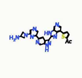 CC(=O)c1ccc(-c2cncc3[nH]c(-c4n[nH]c5cnc(-c6cncc(N7CC(N)C7)n6)cc45)nc23)s1